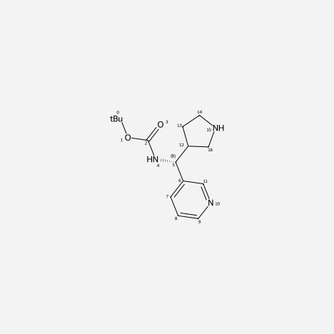 CC(C)(C)OC(=O)N[C@@H](c1cccnc1)C1CCNC1